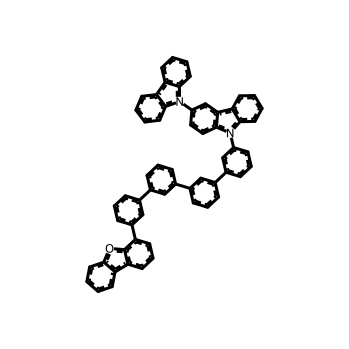 c1cc(-c2cccc(-c3cccc(-n4c5ccccc5c5cc(-n6c7ccccc7c7ccccc76)ccc54)c3)c2)cc(-c2cccc(-c3cccc4c3oc3ccccc34)c2)c1